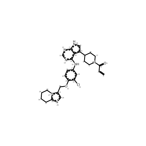 C=CC(=O)N1CCC(c2c[nH]c3ncnc(Nc4ccc(OCc5cnc6n5CCCC6)c(Cl)c4)c23)CC1